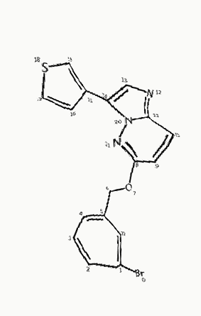 Brc1cccc(COc2ccc3ncc(-c4ccsc4)n3n2)c1